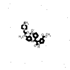 COC(=O)c1ccc2c(c1)/C(=C(/Nc1ccc(N(C)C(=O)CN3CCN(C)CC3)cc1)c1cccc([N+](=O)[O-])c1)C(=O)N2